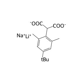 Cc1cc(C(C)(C)C)cc(C)c1C(C(=O)[O-])C(=O)[O-].[Li+].[Na+]